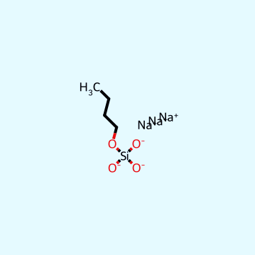 CCCCO[Si]([O-])([O-])[O-].[Na+].[Na+].[Na+]